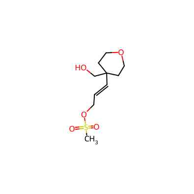 CS(=O)(=O)OCC=CC1(CO)CCOCC1